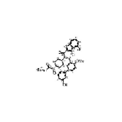 COc1ccc(-c2cccc(C#N)c2)cc1CN(C(=O)c1sc2cccc(F)c2c1Cl)[C@H]1CC[C@H](N(C)C(=O)OC(C)(C)C)CC1